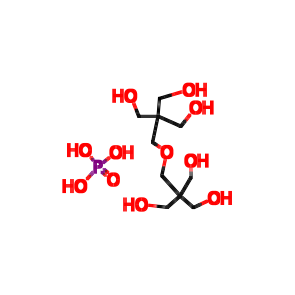 O=P(O)(O)O.OCC(CO)(CO)COCC(CO)(CO)CO